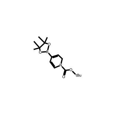 CC(C)(C)OC(=O)N1C=CC(B2OC(C)(C)C(C)(C)O2)=CC1